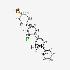 C=C(/C=C\C(=C/C)c1ccc(C2CCC(S)CC2)cc1F)C1CCCCC1